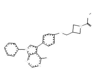 CC(C)(C)OC(=O)N1CC(COc2ccc(-c3cn(-c4ccccc4)c4ncnc(Cl)c34)cc2)C1